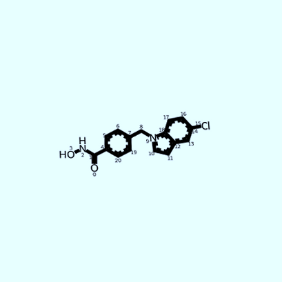 O=C(NO)c1ccc(Cn2ccc3cc(Cl)ccc32)cc1